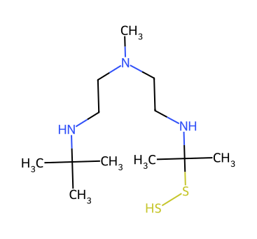 CN(CCNC(C)(C)C)CCNC(C)(C)SS